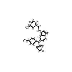 Clc1ccc(C(c2ccc3ncn(CCc4cccc(Cl)c4)c3c2)c2nccs2)cc1